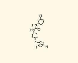 CC1(C)[C@H]2CC=C(CN3CCC(NC(=O)Nc4cccc(Cl)c4)CC3)[C@@H]1C2